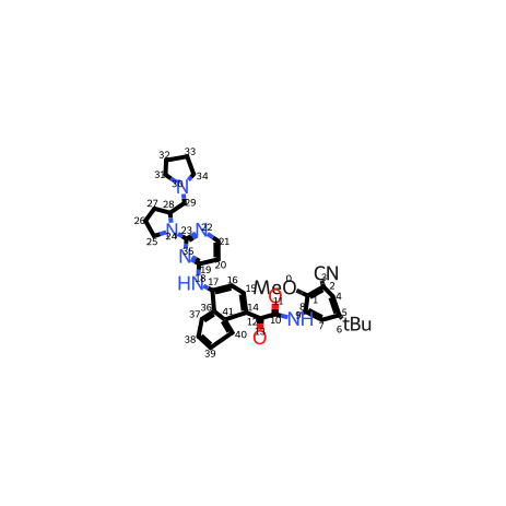 COc1c(C#N)cc(C(C)(C)C)cc1NC(=O)C(=O)c1ccc(Nc2ccnc(N3CCCC3CN3CCCC3)n2)c2ccccc12